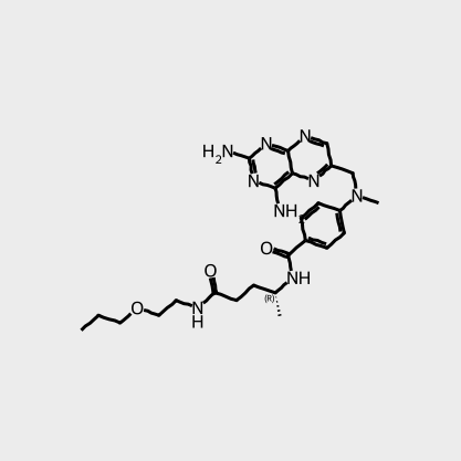 CCCOCCNC(=O)CC[C@@H](C)NC(=O)c1ccc(N(C)Cc2cnc3nc(N)nc(N)c3n2)cc1